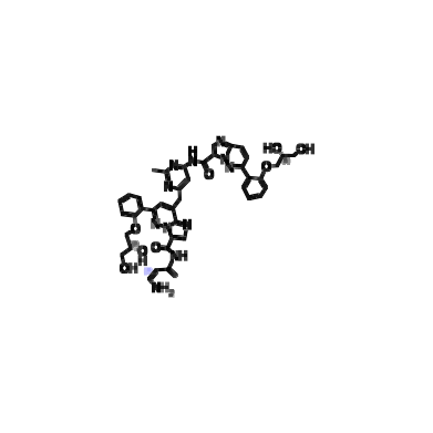 C=C(/C=C\N)NC(=O)c1cnc2c(Cc3cc(NC(=O)c4cnc5ccc(-c6ccccc6OC[C@H](O)CO)nn45)nc(C)n3)cc(-c3ccccc3OC[C@H](O)CO)nn12